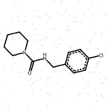 O=C(NCc1ccc(Cl)cc1)N1CCCCC1